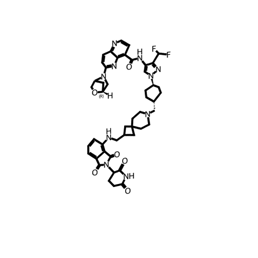 O=C1CCC(N2C(=O)c3cccc(NCC4CC5(CCN(C[C@H]6CC[C@H](n7cc(NC(=O)c8ccnc9ccc(N%10C[C@H]%11CC%10CO%11)nc89)c(C(F)F)n7)CC6)CC5)C4)c3C2=O)C(=O)N1